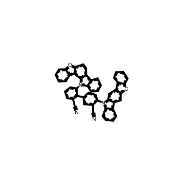 N#Cc1cc(-c2c(C#N)cccc2-n2c3ccccc3c3ccc4oc5ccccc5c4c32)ccc1-n1c2ccccc2c2cc3oc4ccccc4c3cc21